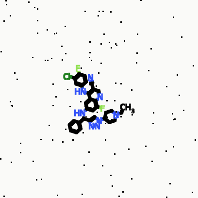 CCN1CCC(n2cc([C@@H](Nc3cc(F)c4ncc(C#N)c(Nc5ccc(F)c(Cl)c5)c4c3)c3ccccc3)nn2)CC1